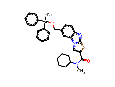 CN(C(=O)c1cn2c(nc3ccc(CO[Si](c4ccccc4)(c4ccccc4)C(C)(C)C)cc32)s1)C1CCCCC1